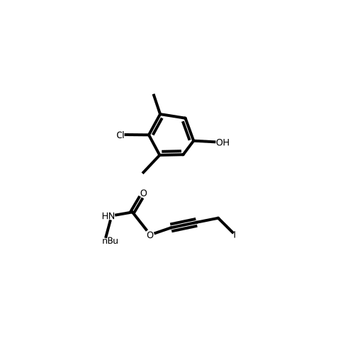 CCCCNC(=O)OC#CCI.Cc1cc(O)cc(C)c1Cl